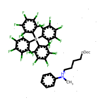 CCCCCCCCCCCCCC[NH+](C)c1ccccc1.Fc1c(F)c(F)c([B-](c2c(F)c(F)c(F)c(F)c2F)(c2c(F)c(F)c(F)c(F)c2F)c2c(F)c(F)c(F)c(F)c2F)c(F)c1F